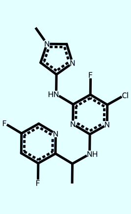 CC(Nc1nc(Cl)c(F)c(Nc2cn(C)cn2)n1)c1ncc(F)cc1F